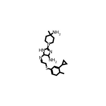 CC1CC=C(SC/C=N\C2NC(N3CCC(C)(N)CC3)=NC2N)C=C1C1CC1